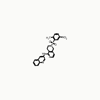 Cc1ccc([N+](=O)[O-])cc1S(=O)(=O)N1CCc2c(ccnc2Nc2cnc3ccccc3c2)C1